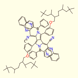 [C-]#[N+]/C(c1cnc2ccccc2n1)=c1\c2c(-c3cccc(OCC(CCC(C)CC(C)(C)C)C(C)CC(C)(C)C)c3)n(B(c3ccccc3)c3ccccc3)/c(=C(/C#N)c3cnc4ccccc4n3)c2c(-c2cccc(OCC(CCC(C)CC(C)(C)C)C(C)CC(C)(C)C)c2)n1B(c1ccccc1)c1ccccc1